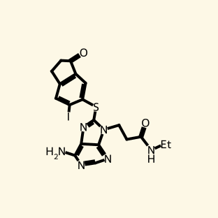 CCNC(=O)CCn1c(Sc2cc3c(cc2I)CCC3=O)nc2c(N)ncnc21